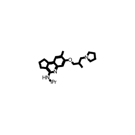 Cc1cc2c3c(c(NC(C)C)nc2cc1OCC(C)CN1CCCC1)CCC3